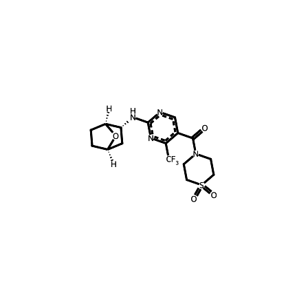 O=C(c1cnc(N[C@@H]2C[C@H]3CC[C@@H]2O3)nc1C(F)(F)F)N1CCS(=O)(=O)CC1